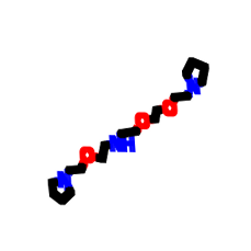 C1CCN(CCOCCNCCOCCOCCN2CCCC2)C1